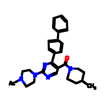 CC(=O)N1CCN(c2ncc(C(=O)N3CCC(C)CC3)c(-c3ccc(-c4ccccc4)cc3)n2)CC1